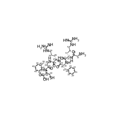 N=C(N)NCCC[C@H](NC(=O)CN)C(=O)N[C@H](Cc1ccccc1)C(=O)N[C@@H](CCCNC(=N)N)C(=O)N[C@@H](Cc1ccccc1)C(=O)N[C@@H](CS)C(=O)O